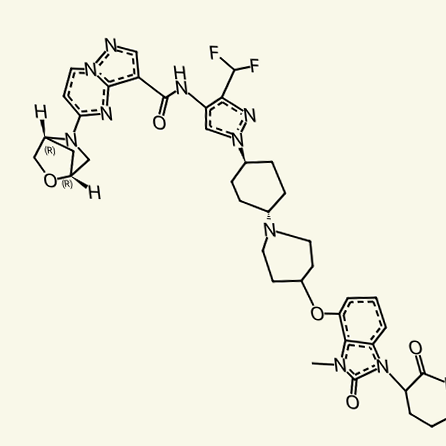 Cn1c(=O)n(C2CCC(=O)NC2=O)c2cccc(OC3CCN([C@H]4CC[C@H](n5cc(NC(=O)c6cnn7ccc(N8C[C@H]9C[C@@H]8CO9)nc67)c(C(F)F)n5)CC4)CC3)c21